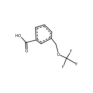 O=C(O)c1cccc(COC(F)(F)F)c1